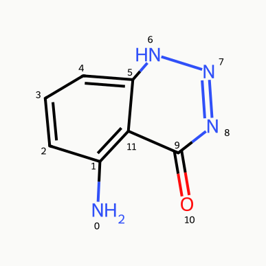 Nc1cccc2[nH]nnc(=O)c12